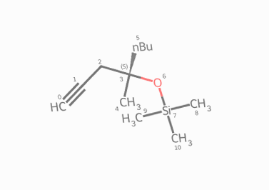 C#CC[C@](C)(CCCC)O[Si](C)(C)C